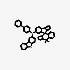 CC1(C)c2ccccc2C2(c3ccccc3-c3ccc(N(c4ccc(-c5ccccc5)cc4)c4ccc5sc6ccccc6c5c4)cc32)c2ccccc21